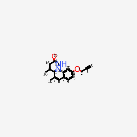 C#CCOc1ccc(C=C(C)C2=NNC(=O)CC2C)cc1